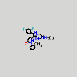 Cc1ccccc1-n1nc(-c2c(-c3ccc(F)cc3F)nn3c2NCC(CNC(C)(C)C)C3)ccc1=O